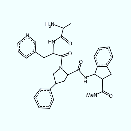 CNC(=O)C1Cc2ccccc2C1NC(=O)C1CC(c2ccccc2)CN1C(=O)C(Cc1cccnc1)NC(=O)C(C)N